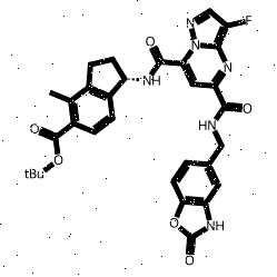 Cc1c(C(=O)OC(C)(C)C)ccc2c1CC[C@@H]2NC(=O)c1cc(C(=O)NCc2ccc3oc(=O)[nH]c3c2)nc2c(F)cnn12